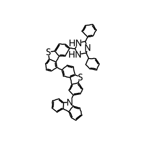 C1=CCC(C2=NC(c3ccccc3)NC(c3ccc4sc5cccc(-c6ccc7sc8ccc(-n9c%10ccccc%10c%10ccccc%109)cc8c7c6)c5c4c3)N2)C=C1